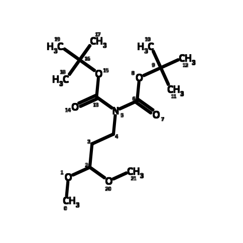 COC(CCN(C(=O)OC(C)(C)C)C(=O)OC(C)(C)C)OC